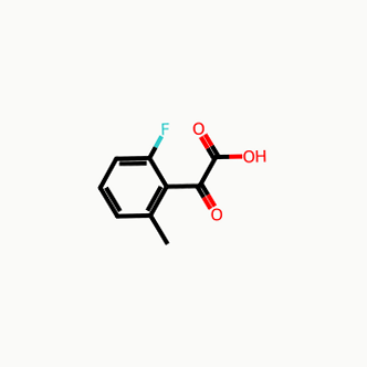 Cc1cccc(F)c1C(=O)C(=O)O